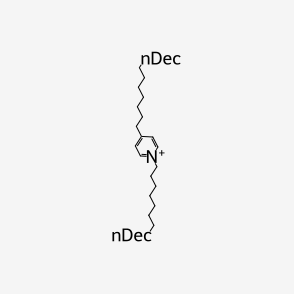 CCCCCCCCCCCCCCCCCc1cc[n+](CCCCCCCCCCCCCCCCC)cc1